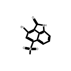 CCc1cc(S(C)(=O)=O)c2cccc3c2c1C(=O)N3